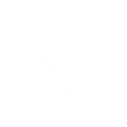 CCCCCCCCOS(=O)(=O)[O-].COC(=O)C(C)(C(=O)OC)n1cc[n+](C)c1